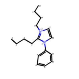 CCCCc1n(-c2ccccc2)cc[n+]1CCCC